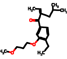 C/C=C(/CC(C)C)C(=O)c1ccc(CC)c(OCCCOC)c1